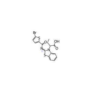 CCC(C(=O)O)n1/c(=N\C(=O)c2ccc(Br)s2)sc2ccccc21